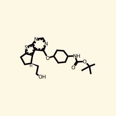 CC(C)(C)OC(=O)NC1CCC(Oc2ncnc3sc4c(c23)[C@@H](CCO)CC4)CC1